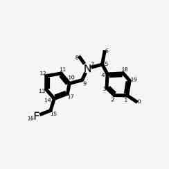 Cc1ccc(C(C)N(C)Cc2cccc(CF)c2)cc1